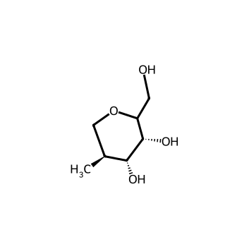 C[C@H]1COC(CO)[C@H](O)[C@@H]1O